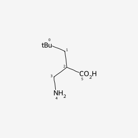 CC(C)(C)CC(CN)C(=O)O